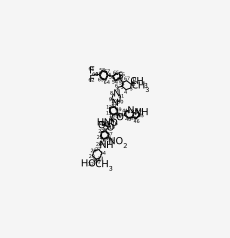 CC1(C)CCC(CN2CCN(c3ccc(C(=O)NS(=O)(=O)c4ccc(NC[C@H]5CC[C@](C)(O)CC5)c([N+](=O)[O-])c4)c(Oc4cnc5[nH]ccc5c4)c3)CC2)=C(c2cc(-c3ccc(C(F)F)cc3)cs2)C1